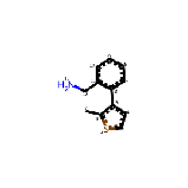 Cc1sccc1-c1ccccc1CN